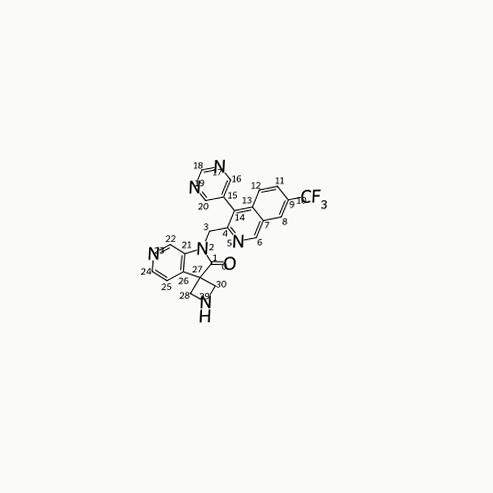 O=C1N(Cc2ncc3cc(C(F)(F)F)ccc3c2-c2cncnc2)c2cnccc2C12CNC2